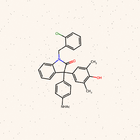 CC(=O)Nc1ccc(C2(c3cc(C)c(O)c(C)c3)C(=O)N(Cc3ccccc3Cl)c3ccccc32)cc1